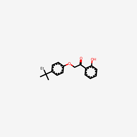 CCC(C)(C)c1ccc(OCC(=O)c2ccccc2O)cc1